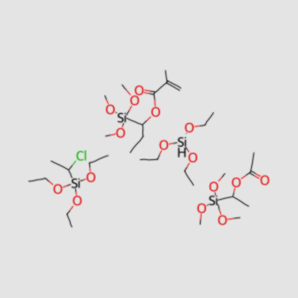 C=C(C)C(=O)OC(CC)[Si](OC)(OC)OC.CCO[SiH](OCC)OCC.CCO[Si](OCC)(OCC)C(C)Cl.CO[Si](OC)(OC)C(C)OC(C)=O